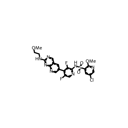 COCCNc1ncc2cc(-c3c(F)cnc(NS(=O)(=O)c4cc(Cl)cnc4OC)c3F)cnc2n1